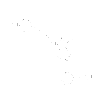 Cc1c(C)n(CCCCN2CCN(C)CC2)c2ccc(Cc3ccccc3C(=O)O)cc12